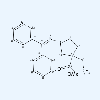 COC(=O)C1(CC(F)(F)F)CC[C@@H](N=C(c2ccccc2)c2ccccc2)C1